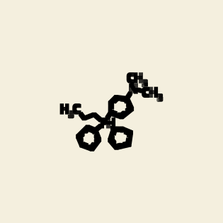 CCC[PH](c1ccccc1)(c1ccccc1)c1ccc(N(C)C)cc1